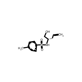 C=CC[C@@H](CO)NS(=O)(=O)c1ccc(C)cc1